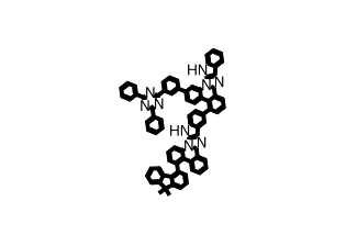 CC1(C)c2ccccc2-c2c(-c3cccc4c3c3ccccc3c3nc5c6cc(-c7cccc8c7c7ccc(-c9cccc(-c%10nc(-c%11ccccc%11)nc(-c%11ccccc%11)n%10)c9)cc7n7c8nc8c9ccccc9[nH]c87)ccc6[nH]c5n43)cccc21